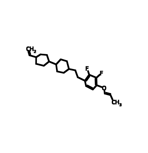 C=CC1CCC(C2CCC(CCc3ccc(O/C=C/C)c(F)c3F)CC2)CC1